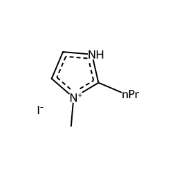 CCCc1[nH]cc[n+]1C.[I-]